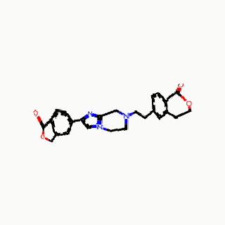 O=C1OCCc2cc(CCN3CCn4cc(-c5ccc6c(c5)COC6=O)nc4C3)ccc21